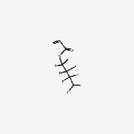 C=CC(=O)OC(F)(F)C(F)(F)C(F)(F)C(C)F